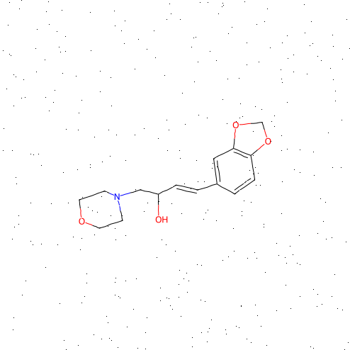 OC(C=Cc1ccc2c(c1)OCO2)CN1CCOCC1